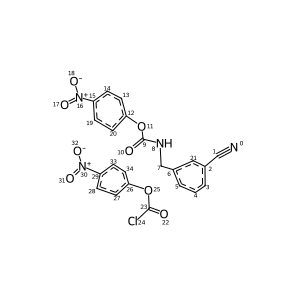 N#Cc1cccc(CNC(=O)Oc2ccc([N+](=O)[O-])cc2)c1.O=C(Cl)Oc1ccc([N+](=O)[O-])cc1